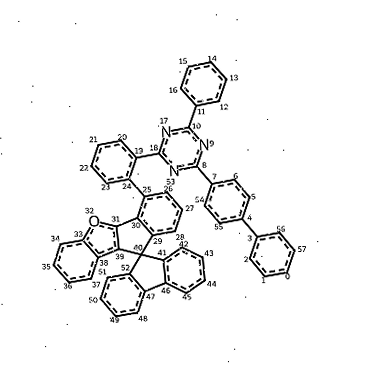 c1ccc(-c2ccc(-c3nc(-c4ccccc4)nc(-c4ccccc4-c4cccc5c4-c4oc6ccccc6c4C54c5ccccc5-c5ccccc54)n3)cc2)cc1